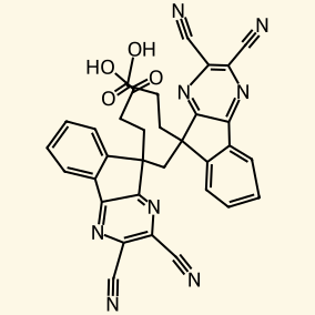 N#Cc1nc2c(nc1C#N)C(CCC(=O)O)(CC1(CCC(=O)O)c3ccccc3-c3nc(C#N)c(C#N)nc31)c1ccccc1-2